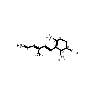 C=C/C=C(C)/C=C/C1=C(C)CCC(C)C1C